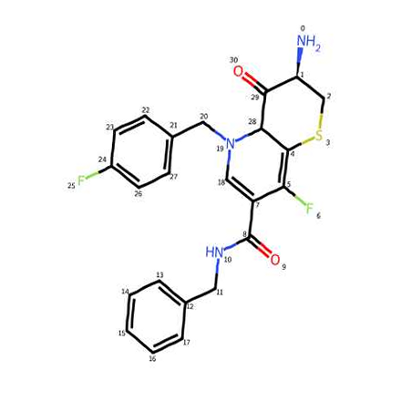 N[C@H]1CSC2=C(F)C(C(=O)NCc3ccccc3)=CN(Cc3ccc(F)cc3)C2C1=O